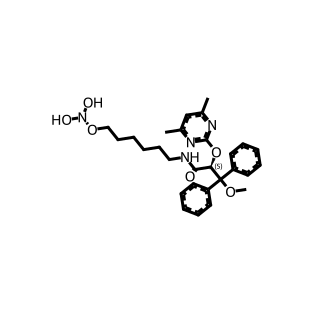 COC(c1ccccc1)(c1ccccc1)[C@H](Oc1nc(C)cc(C)n1)C(=O)NCCCCCCON(O)O